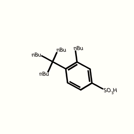 CCCCc1cc(S(=O)(=O)O)ccc1C(CCCC)(CCCC)CCCC